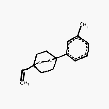 C=CC12CCC(c3cccc(C)c3)(CC1)CO2